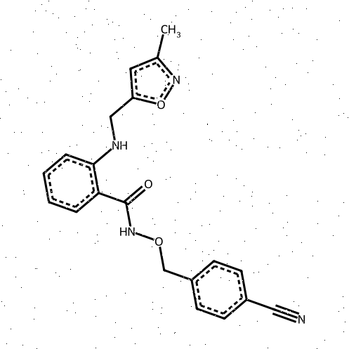 Cc1cc(CNc2ccccc2C(=O)NOCc2ccc(C#N)cc2)on1